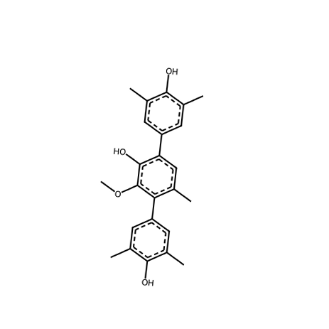 COc1c(O)c(-c2cc(C)c(O)c(C)c2)cc(C)c1-c1cc(C)c(O)c(C)c1